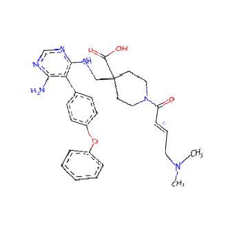 CN(C)C/C=C/C(=O)N1CCC(CNc2ncnc(N)c2-c2ccc(Oc3ccccc3)cc2)(C(=O)O)CC1